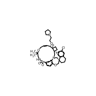 CC1(C)CNS(=O)(=O)c2ccc3c(c2)N(C[C@@H]2CC[C@H]2[C@@H](OCCN2CCCC2)C=CCO1)C[C@@]1(CCCc2cc(Cl)ccc21)CO3